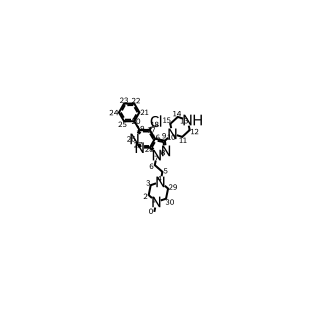 CN1CCN(CCn2nc(N3CCNCC3)c3c(Cl)c(-c4ccccc4)nnc32)CC1